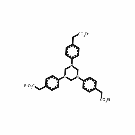 CCOC(=O)Cc1ccc(N2CN(c3ccc(CC(=O)OCC)cc3)CN(c3ccc(CC(=O)OCC)cc3)C2)cc1